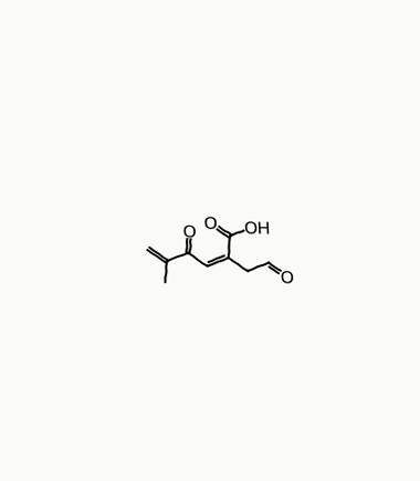 C=C(C)C(=O)C=C(CC=O)C(=O)O